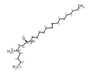 CCCCCCCCCCCCCCCNC(=O)CCN(C)CCCC